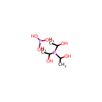 CC(O)P(C(C)O)C(C)O.OP(O)O